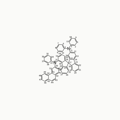 c1ccc(N(c2ccccc2)c2ccc3c(c2)C2(c4ccccc4-3)c3ccccc3-c3c(N(c4ccccc4)c4ccc5ccc6ccccc6c5c4)cccc32)cc1